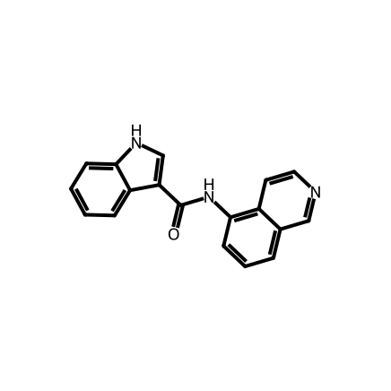 O=C(Nc1cccc2cnccc12)c1c[nH]c2ccccc12